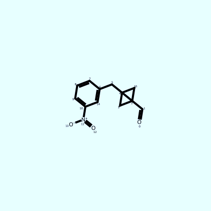 O=CC12CC1(Cc1cccc([N+](=O)[O-])c1)C2